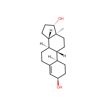 C[C@]12CC[C@H]3[C@@H](CCC4=C[C@H](O)CC[C@@H]43)[C@@H]1CC[C@@H]2O